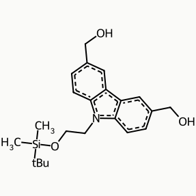 CC(C)(C)[Si](C)(C)OCCn1c2ccc(CO)cc2c2cc(CO)ccc21